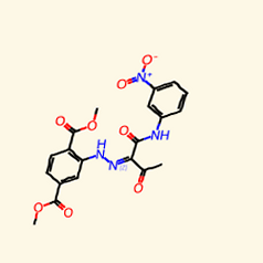 COC(=O)c1ccc(C(=O)OC)c(N/N=C(/C(C)=O)C(=O)Nc2cccc([N+](=O)[O-])c2)c1